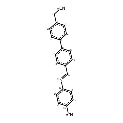 N#CCc1ccc(-c2ccc(/C=N/c3ccc(C#N)cc3)cc2)cc1